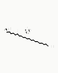 CCCCCCCCCCCCCCCCCCCCCC[N+](C)(C)C.COS(=O)(=O)O.N